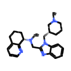 CCCN(Cc1nc2ccccc2n1C[C@H]1CCCN(C(C)C)C1)[C@H]1CCCc2cccnc21